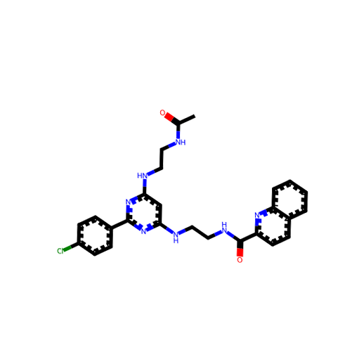 CC(=O)NCCNc1cc(NCCNC(=O)c2ccc3ccccc3n2)nc(-c2ccc(Cl)cc2)n1